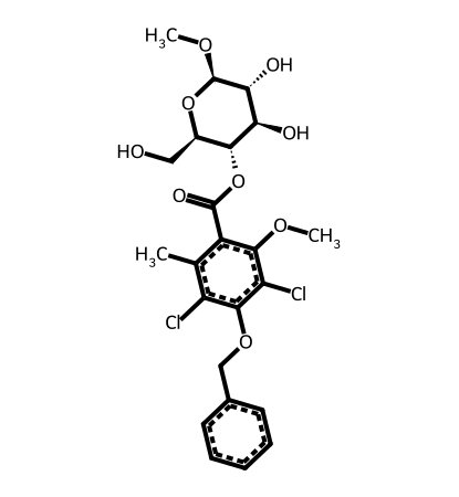 COc1c(Cl)c(OCc2ccccc2)c(Cl)c(C)c1C(=O)O[C@H]1[C@H](O)[C@@H](O)[C@H](OC)O[C@@H]1CO